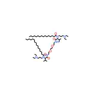 CCCCCCCCCCCCCCCC(=O)N(CCCN(CC)CC)C(C(=O)NCCOCCOCCNC(=O)C(C(C)C)N(CCCN(CC)CC)C(=O)CCCCCCCCCCCCCCC)C(C)C